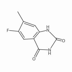 Cc1cc2[nH]c(=O)[nH]c(=O)c2cc1F